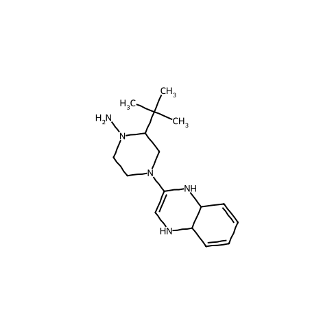 CC(C)(C)C1CN(C2=CNC3C=CC=CC3N2)CCN1N